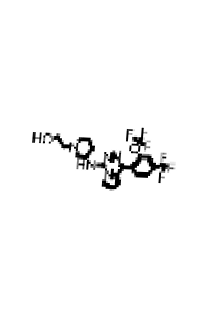 OCCN1CCCC(Nc2nnc(-c3ccc(C(F)(F)F)cc3OC(F)(F)F)c3cccn23)C1